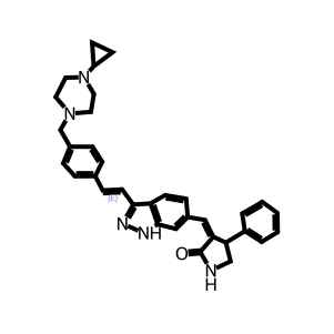 O=C1NCC(c2ccccc2)C1=Cc1ccc2c(/C=C/c3ccc(CN4CCN(C5CC5)CC4)cc3)n[nH]c2c1